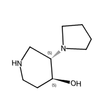 O[C@H]1CCNC[C@@H]1N1CCCC1